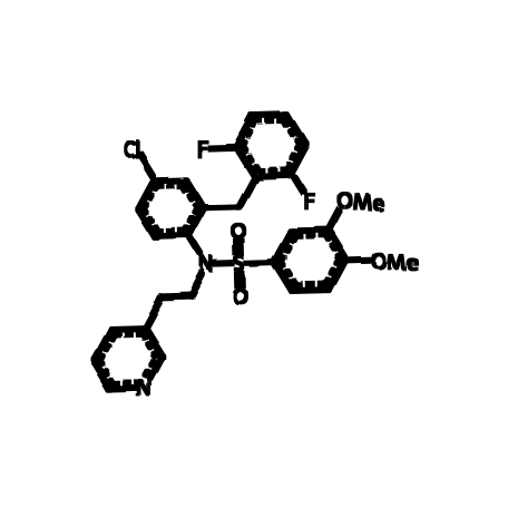 COc1ccc(S(=O)(=O)N(CCc2cccnc2)c2ccc(Cl)cc2Cc2c(F)cccc2F)cc1OC